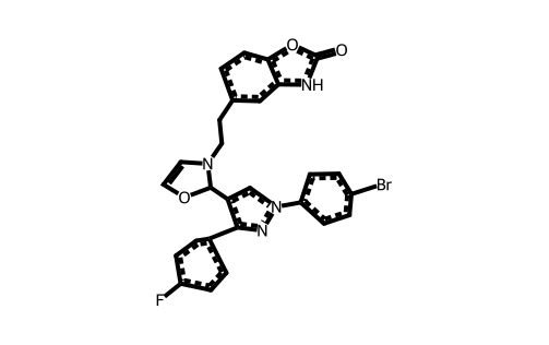 O=c1[nH]c2cc(CCN3C=COC3c3cn(-c4ccc(Br)cc4)nc3-c3ccc(F)cc3)ccc2o1